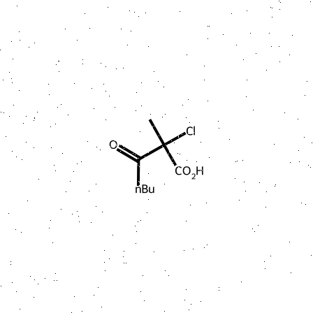 CCCCC(=O)C(C)(Cl)C(=O)O